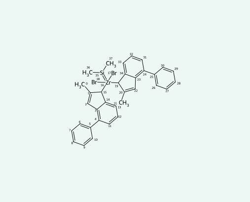 CC1=Cc2c(-c3ccccc3)cccc2[CH]1[Zr]([Br])([Br])([CH]1C(C)=Cc2c(-c3ccccc3)cccc21)=[Si](C)C